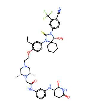 CCc1cc(N2C(=S)N(c3ccc(C#N)c(C(F)(F)F)c3)C(O)C23CCCCC3)ccc1OCCN1C[C@@H](C)N(CC(=O)Nc2cccc(NC3CCC(=O)NC3=O)c2)[C@@H](C)C1